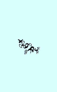 CC(C)(C)OC(=O)N1CCC(Oc2cn(C(F)F)nc2Br)C1